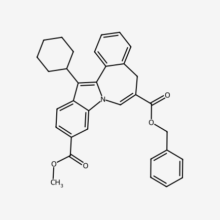 COC(=O)c1ccc2c(C3CCCCC3)c3n(c2c1)C=C(C(=O)OCc1ccccc1)Cc1ccccc1-3